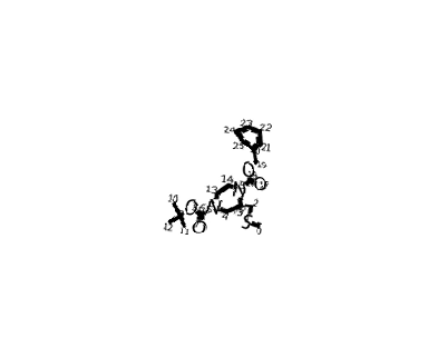 CSC[C@H]1CN(C(=O)OC(C)(C)C)CCN1C(=O)OCc1ccccc1